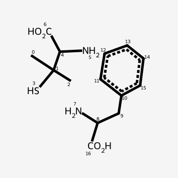 CC(C)(S)C(N)C(=O)O.NC(Cc1ccccc1)C(=O)O